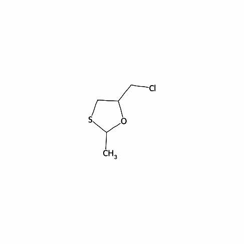 CC1OC(CCl)CS1